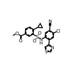 COC(=O)c1ccc(C2CC2)c(S(=O)(=O)Nc2cc(C#N)c(Cl)cc2-c2cscn2)c1